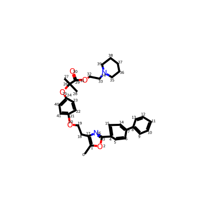 Cc1oc(-c2ccc(-c3ccccc3)cc2)nc1CCOc1ccc(OC(C)(C)C(=O)OCCN2CCCCC2)cc1